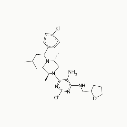 CC(C)CC(c1ccc(Cl)cc1)N1C[C@H](C)N(c2nc(Cl)nc(NC[C@@H]3CCCO3)c2N)C[C@H]1C